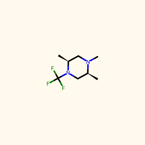 C[C@H]1CN(C(F)(F)F)[C@@H](C)CN1C